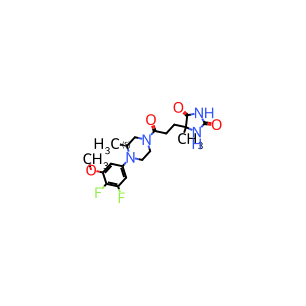 COc1cc(N2CCN(C(=O)CCC3(C)NC(=O)NC3=O)C[C@@H]2C)cc(F)c1F